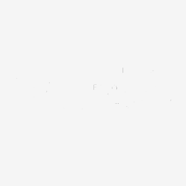 C=CCCc1ccc(CCc2ccc3c(c2F)Oc2c(cc(CCC)c(F)c2F)C3)cc1